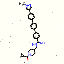 Cn1cc(-c2ccc(-c3ccc(-c4ccc(C(=N)NCC5CCN(C(=O)C6CC6)CC5)cc4)cc3)cc2)cn1